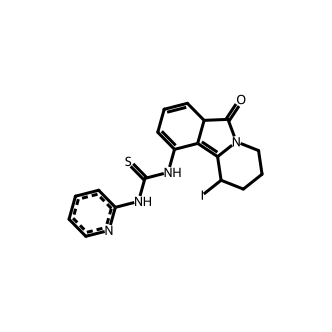 O=C1C2C=CC=C(NC(=S)Nc3ccccn3)C2=C2C(I)CCCN12